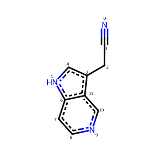 N#CCc1c[nH]c2ccncc12